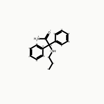 CCCNC(C(N)=O)(c1ccccc1)c1ccccc1